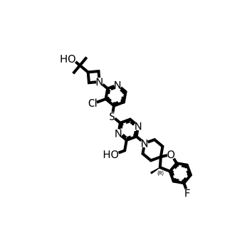 C[C@@H]1c2cc(F)ccc2OC12CCN(c1ncc(Sc3ccnc(N4CC(C(C)(C)O)C4)c3Cl)nc1CO)CC2